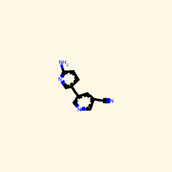 N#Cc1cncc(-c2ccc(N)nc2)c1